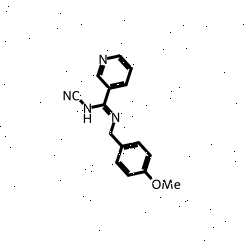 COc1ccc(C/N=C(\NC#N)c2cccnc2)cc1